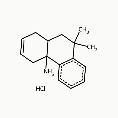 CC1(C)CC2CC=CCC2(N)c2ccccc21.Cl